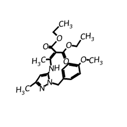 CCOC(=O)C(C(=O)OCC)=C(C)Nc1cc(C)nn1Cc1ccc(OC)cc1